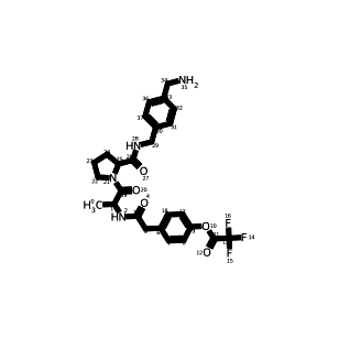 CC(NC(=O)Cc1ccc(OC(=O)C(F)(F)F)cc1)C(=O)N1CCCC1C(=O)NCc1ccc(CN)cc1